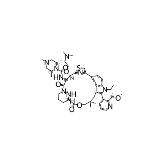 CCn1c(-c2cccnc2[C@H](C)OC)c2c3cc(ccc31)-c1csc(n1)[C@@H](OCCN(C)C)[C@H](NC(=O)N1[C@@H](C)CN(C)C[C@@H]1C)C(=O)N1CCC[C@H](N1)C(=O)OCC(C)(C)C2